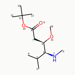 CN[C@@H](C(C)C)[C@@H](CC(=O)OC(C)(C)C)OC